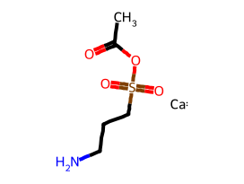 CC(=O)OS(=O)(=O)CCCN.[Ca]